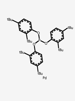 CC(C)(C)c1ccc(OP(Oc2ccc(C(C)(C)C)cc2C(C)(C)C)Oc2ccc(C(C)(C)C)cc2C(C)(C)C)c(C(C)(C)C)c1.[Pd]